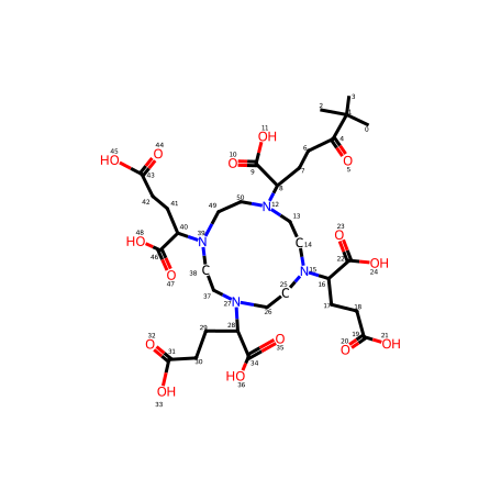 CC(C)(C)C(=O)CCC(C(=O)O)N1CCN(C(CCC(=O)O)C(=O)O)CCN(C(CCC(=O)O)C(=O)O)CCN(C(CCC(=O)O)C(=O)O)CC1